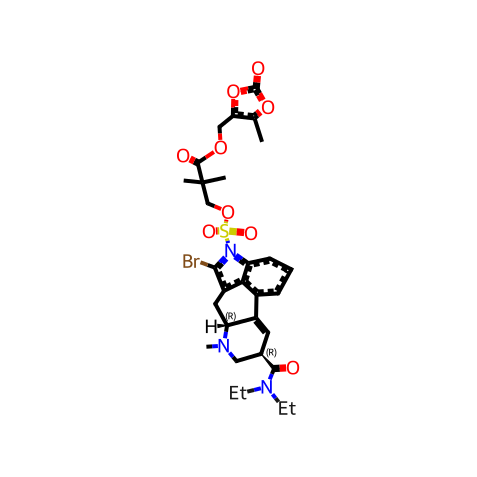 CCN(CC)C(=O)[C@@H]1C=C2c3cccc4c3c(c(Br)n4S(=O)(=O)OCC(C)(C)C(=O)OCc3oc(=O)oc3C)C[C@H]2N(C)C1